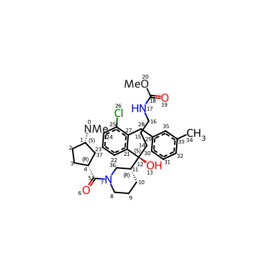 CN[C@H]1CC[C@@H](C(=O)N2CCC[C@@H]([C@@](O)(CCCNC(=O)OC)c3cccc(Cl)c3Cc3cccc(C)c3)C2)C1